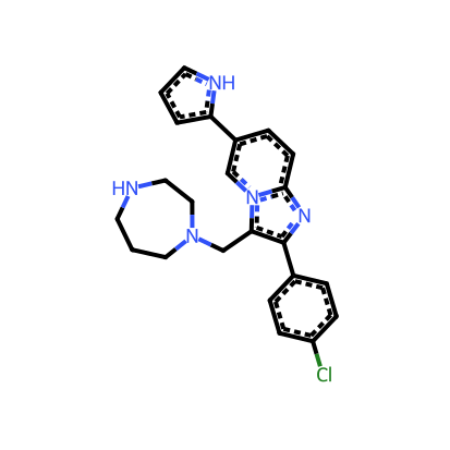 Clc1ccc(-c2nc3ccc(-c4ccc[nH]4)cn3c2CN2CCCNCC2)cc1